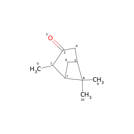 CC1C(=O)CC2CC1C2(C)C